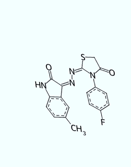 Cc1ccc2c(c1)C(=NN=C1SCC(=O)N1c1ccc(F)cc1)C(=O)N2